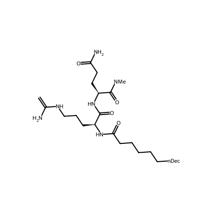 C=C(N)NCCC[C@H](NC(=O)CCCCCCCCCCCCCCC)C(=O)N[C@@H](CCC(N)=O)C(=O)NC